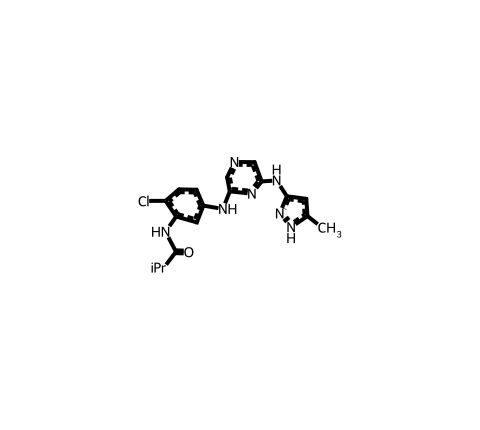 Cc1cc(Nc2cncc(Nc3ccc(Cl)c(NC(=O)C(C)C)c3)n2)n[nH]1